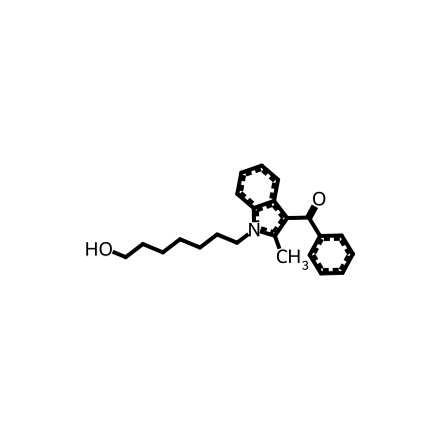 Cc1c(C(=O)c2ccccc2)c2ccccc2n1CCCCCCCO